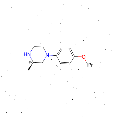 CC(C)Oc1ccc(N2CCN[C@H](C)C2)cc1